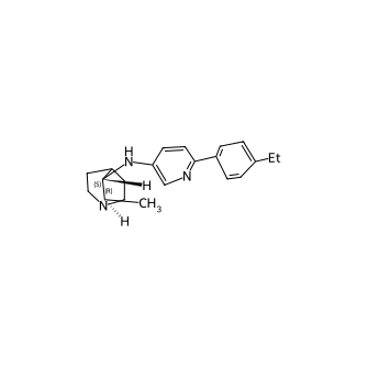 CCc1ccc(-c2ccc(N[C@H]3C4CCN(CC4)[C@@H]3C)cn2)cc1